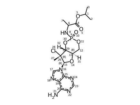 CC(C)OC(=O)C(C)NP1(=O)OC[C@H]2O[C@@H](n3cnc4c(N)ncnc43)[C@](C)(Cl)[C@@H]2O1